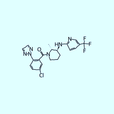 C[C@@H]1[C@@H](Nc2ccc(C(F)(F)F)cn2)CCCN1C(=O)c1cc(Cl)ccc1-n1nccn1